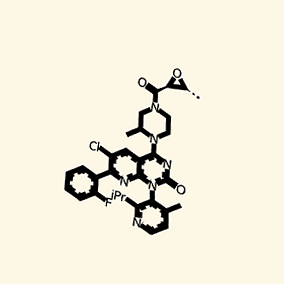 Cc1ccnc(C(C)C)c1-n1c(=O)nc(N2CCN(C(=O)[C@H]3O[C@@H]3C)CC2C)c2cc(Cl)c(-c3ccccc3F)nc21